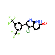 O=c1ccc2c(Cl)c(-c3cc(C(F)(F)F)cc(C(F)(F)F)c3)cnc2[nH]1